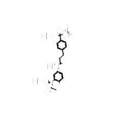 CN1C(=O)COc2ccc(NC(=O)CCc3ccc(C(C)(C)C)cc3)cc21